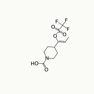 CC=C(OS(=O)(=O)C(F)(F)F)C1CCN(C(=O)O)CC1